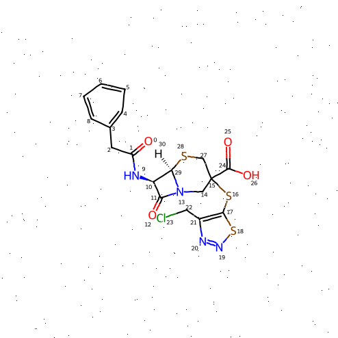 O=C(Cc1ccccc1)N[C@@H]1C(=O)N2CC(Sc3snnc3CCl)(C(=O)O)CS[C@H]12